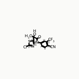 CC(O)(C(=O)Nc1ccc(C#N)c(C(F)(F)F)c1)c1cnc(Cl)s1